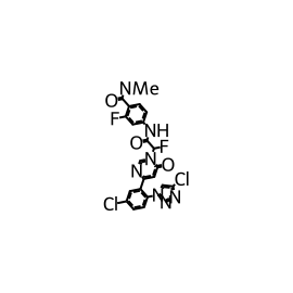 CNC(=O)c1ccc(NC(=O)C(F)n2cnc(-c3cc(Cl)ccc3-n3cc(Cl)nn3)cc2=O)cc1F